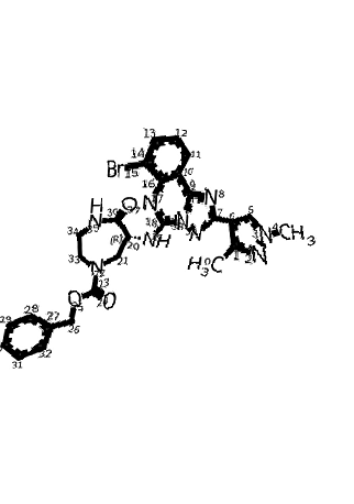 Cc1nn(C)cc1-c1nc2c3cccc(Br)c3nc(N[C@@H]3CN(C(=O)OCc4ccccc4)CCNC3=O)n2n1